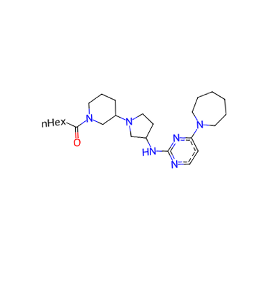 CCCCCCC(=O)N1CCCC(N2CCC(Nc3nccc(N4CCCCCC4)n3)C2)C1